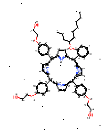 CCCCCCC(CCC)Oc1ccccc1-c1c2nc(c(-c3ccc(OCCO)cc3)c3ccc([nH]3)c(-c3ccc(OCCO)cc3)c3nc(c(-c4ccc(OCCO)cc4)c4ccc1[nH]4)C=C3)C=C2